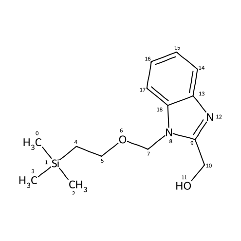 C[Si](C)(C)CCOCn1c(CO)nc2ccccc21